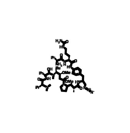 CC[C@H](C)[C@@H]([C@@H](CC(=O)N1CCCC1[C@H](OC)[C@@H](C)C(=O)NC(CN=[N+]=[N-])Cc1ccc(NC(=O)[C@H](CCCNC(N)=O)NC(=O)[C@@H](N)C(C)C)cc1)OC)N(C)C(O)[C@@H](NC(=O)[C@H](C(C)C)N(C)C)C(C)C